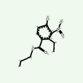 CCCOC(=O)c1ccc(Cl)c([N+](=O)[O-])c1CC